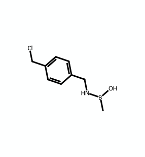 CB(O)NCc1ccc(CCl)cc1